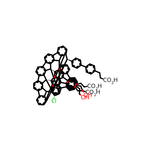 O=C(O)CCc1ccc(-c2ccc([C@@]34C5=C6[C@@]7(c8ccc(-c9ccc(CCC(=O)O)cc9)cc8)c8c9ccc(c83)-c3ccc8c(c34)[C@@]3(c4ccc(-c%10ccc(CCO)cc%10)cc4)C5=C4[C@]5(c%10ccc(-c%11ccc(CCO)cc%11)cc%10)c%10c(ccc-8c%103)-c3ccc8c(c35)[C@](c3ccc(-c5ccc(CCC(=O)O)cc5)cc3)(c3c-8ccc-9c37)[C@@]46Cl)cc2)cc1